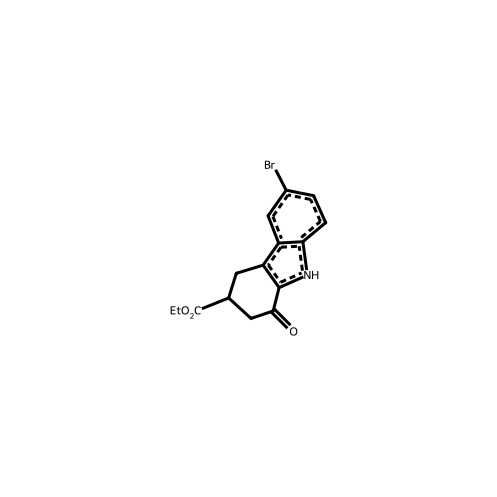 CCOC(=O)C1CC(=O)c2[nH]c3ccc(Br)cc3c2C1